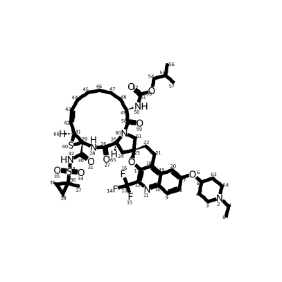 CCN1CCC(Oc2ccc3nc(C(F)(F)F)c4c(c3c2)CC[C@]2(C[C@H]3C(=O)N[C@]5(C(=O)NS(=O)(=O)C6(C)CC6)S[C@H]5/C=C\CCCCC[C@H](NC(=O)OCC(C)C)C(=O)N3C2)O4)CC1